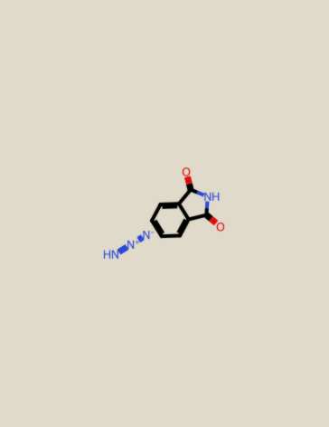 O=C1NC(=O)c2ccccc21.[N-]=[N+]=N